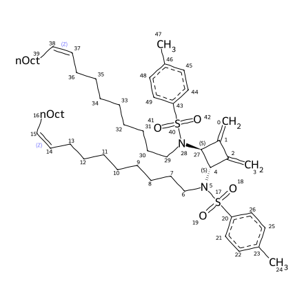 C=C1C(=C)[C@H](N(CCCCCCCC/C=C\CCCCCCCC)S(=O)(=O)c2ccc(C)cc2)[C@H]1N(CCCCCCCC/C=C\CCCCCCCC)S(=O)(=O)c1ccc(C)cc1